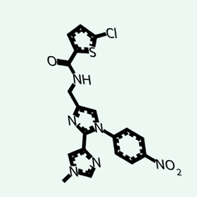 Cn1cnc(-c2nc(CNC(=O)c3ccc(Cl)s3)cn2-c2ccc([N+](=O)[O-])cc2)c1